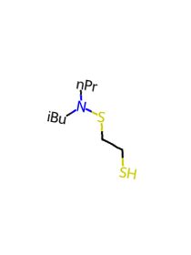 CCCN(SCCS)C(C)CC